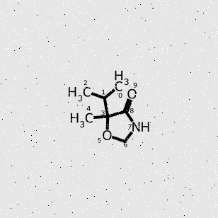 CC(C)C1(C)OCNC1=O